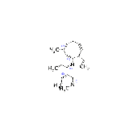 C=CC(=N\C1=C\C(C)=C/CC#CC1C=C)/C(/C=N\C)=C/C